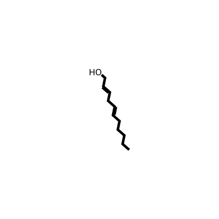 CCCCCC=CCC=CCO